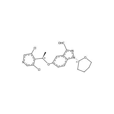 C[C@@H](Oc1ccc2c(c1)c(C=O)nn2[C@H]1CCCCO1)c1c(Cl)cncc1Cl